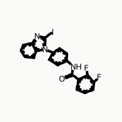 O=C(Nc1ccc(-n2c(I)nc3ccccc32)cc1)c1cccc(F)c1F